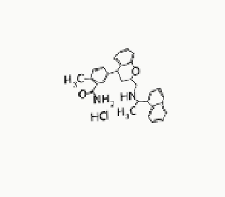 Cc1ccc(C2CC(CN[C@H](C)c3cccc4ccccc34)Oc3ccccc32)cc1C(N)=O.Cl